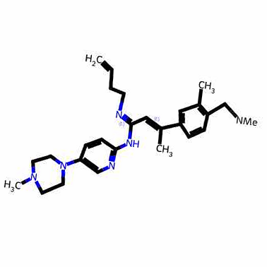 C=CCC/N=C(\C=C(/C)c1ccc(CNC)c(C)c1)Nc1ccc(N2CCN(C)CC2)cn1